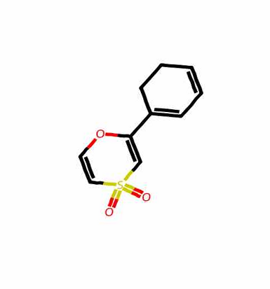 O=S1(=O)C=COC(C2=CC=CCC2)=C1